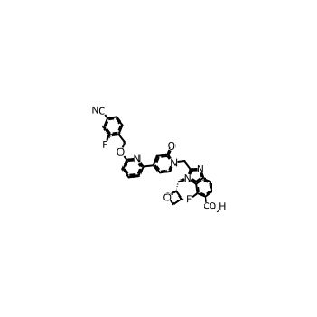 N#Cc1ccc(COc2cccc(-c3ccn(Cc4nc5ccc(C(=O)O)c(F)c5n4C[C@@H]4CCO4)c(=O)c3)n2)c(F)c1